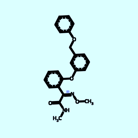 CNC(=O)/C(=N\OC)c1ccccc1Oc1cccc(COc2ccccc2)c1